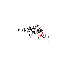 CCCC[Si](C)(C)c1cc(OC)c([C@@H]2C=C(OC(=O)C(C)(C)CC)[C@@H]3C[C@H]2C3(C)C)c(OC)c1